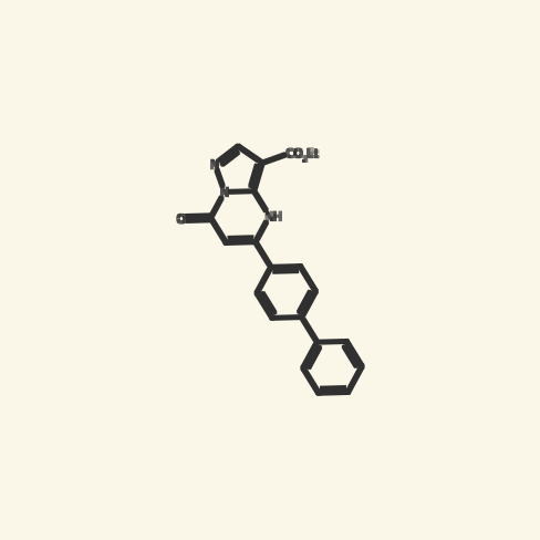 CCOC(=O)c1cnn2c(=O)cc(-c3ccc(-c4ccccc4)cc3)[nH]c12